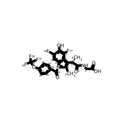 Cc1c([C@H](C)C(=O)NCC(=O)O)c2c(F)c(O)c(F)cc2n1C(=O)c1ccc(OC(F)(F)F)cc1